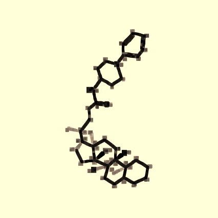 C[C@H](CCC(=O)NC1CCN(c2ccccc2)CC1)[C@H]1CC[C@H]2[C@@H]3CCC4CCCC[C@]4(C)[C@H]3CC[C@]12C